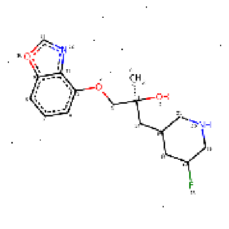 C[C@@](O)(COc1cccc2ocnc12)CC1[CH]C(F)CNC1